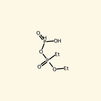 CCOP(=O)(CC)O[PH](=O)O